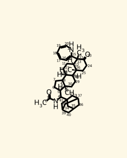 CC(=O)NC(C1CC[C@H]2[C@@H]3CC[C@H]4C(C)(C5=CC=CC=CN5)C(=O)CC[C@]4(C)[C@H]3CC[C@]12C)C12CC3CC(CC(C3)C1)C2